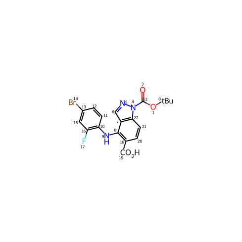 CC(C)(C)OC(=O)n1ncc2c(Nc3ccc(Br)cc3F)c(C(=O)O)ccc21